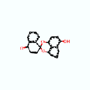 O=C1C=CC2(Oc3cccc4c(O)ccc(c34)O2)c2ccccc21